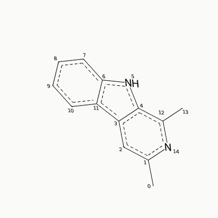 Cc1cc2c([nH]c3ccccc32)c(C)n1